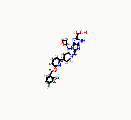 O=C(O)c1nc2c(nc(CN3CC=C(c4cccc(OCc5ccc(Cl)cc5F)n4)CC3)n2C[C@@H]2CCO2)[nH]1